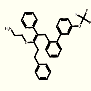 NCCO/C(CCc1ccccc1)=C(/Cc1ccccc1-c1cccc(OC(F)(F)F)c1)c1ccccc1